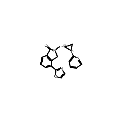 O=C1c2cccc(-c3ncco3)c2CN1C[C@@H]1C[C@H]1c1ccccn1